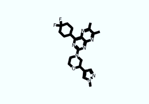 Cc1nc2nc(N3CCOC(c4cnn(C)c4)C3)nc(C3CCC(F)(F)CC3)c2nc1C